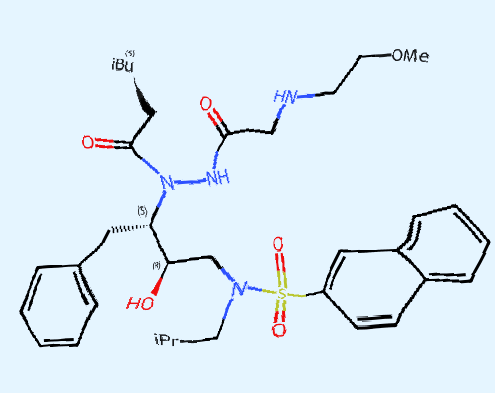 CC[C@H](C)CC(=O)N(NC(=O)CNCCOC)[C@@H](Cc1ccccc1)[C@H](O)CN(CC(C)C)S(=O)(=O)c1ccc2ccccc2c1